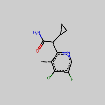 Cc1c(C(C(N)=O)C2CC2)ncc(F)c1Cl